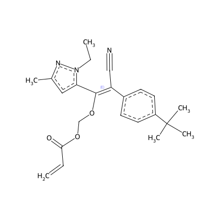 C=CC(=O)OCO/C(=C(/C#N)c1ccc(C(C)(C)C)cc1)c1cc(C)nn1CC